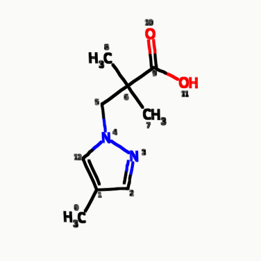 Cc1cnn(CC(C)(C)C(=O)O)c1